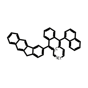 CC/C=C\C(C)=C(\c1ccccc1/C(=C/C=S)c1ccc2c(c1)-c1cc3ccccc3cc1C2)c1cccc2ccccc12